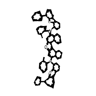 Cc1ccccc1N(c1cc2oc3cc(N(c4ccccc4C)c4cccc5c4oc4c(-c6ccccc6)cccc45)c4ccccc4c3c2c2ccccc12)c1cccc2c1oc1c(-c3ccccc3)cccc12